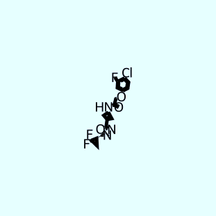 O=C(COc1ccc(Cl)c(F)c1)NC12CC(c3nnc([C@@H]4CC4(F)F)o3)(C1)C2